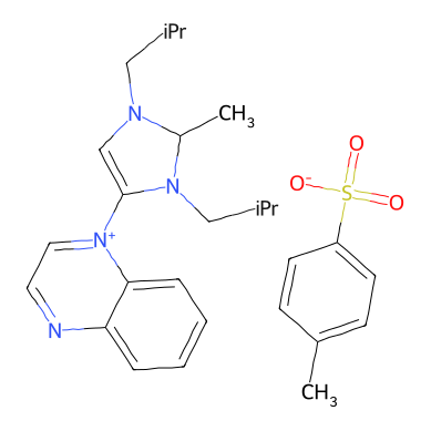 CC(C)CN1C=C([n+]2ccnc3ccccc32)N(CC(C)C)C1C.Cc1ccc(S(=O)(=O)[O-])cc1